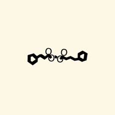 O=C(/C=C/c1ccccc1)OCOC(=O)CCCc1ccccc1